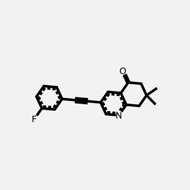 CC1(C)CC(=O)c2cc(C#Cc3cccc(F)c3)cnc2C1